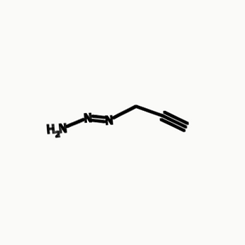 C#CCN=NN